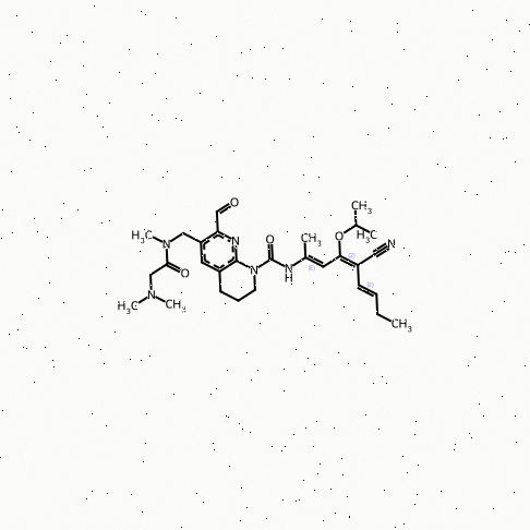 CC/C=C/C(C#N)=C(\C=C(/C)NC(=O)N1CCCc2cc(CN(C)C(=O)CN(C)C)c(C=O)nc21)OC(C)C